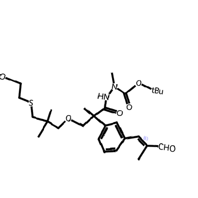 C/C(C=O)=C\c1cccc(C(C)(COCC(C)(C)CSCCO)C(=O)NN(C)C(=O)OC(C)(C)C)c1